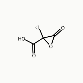 O=C(O)C1(Cl)OC1=O